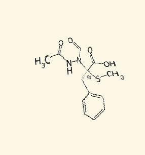 CS[C@](Cc1ccccc1)(C(=O)O)N(C=O)NC(C)=O